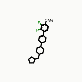 COc1ccc(C2=CCC(C3CCC(CC4CCCC4)CC3)CC2)c(F)c1F